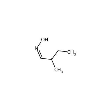 CC[C](C)/C=N\O